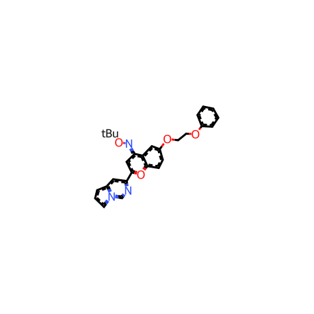 CC(C)(C)ON=c1cc(-c2cc3cccn3cn2)oc2ccc(OCCOc3ccccc3)cc12